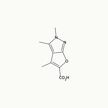 Cc1c(C(=O)O)oc2nn(C)c(C)c12